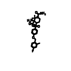 Cc1cc(F)ccc1COc1ccc(S(=O)(=O)C2CCN(C(N)=O)C(C)(C)C2(N)C(=O)O)cc1